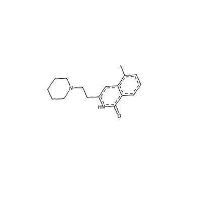 Cc1cccc2c(=O)[nH]c(CCN3CCCCC3)cc12